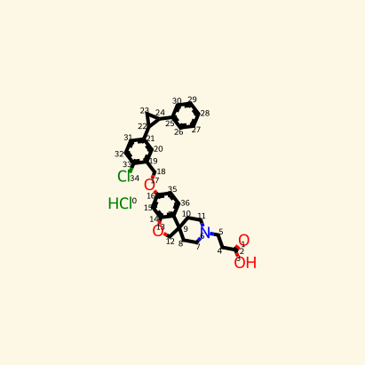 Cl.O=C(O)CCN1CCC2(CC1)COc1cc(OCc3cc(C4CC4c4ccccc4)ccc3Cl)ccc12